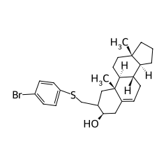 C[C@@]12CCC[C@H]1[C@@H]1CC=C3C[C@@H](O)C(CSc4ccc(Br)cc4)C[C@]3(C)[C@H]1CC2